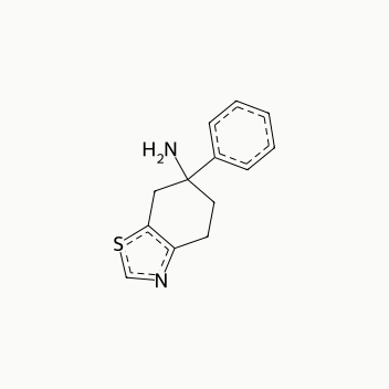 NC1(c2ccccc2)CCc2ncsc2C1